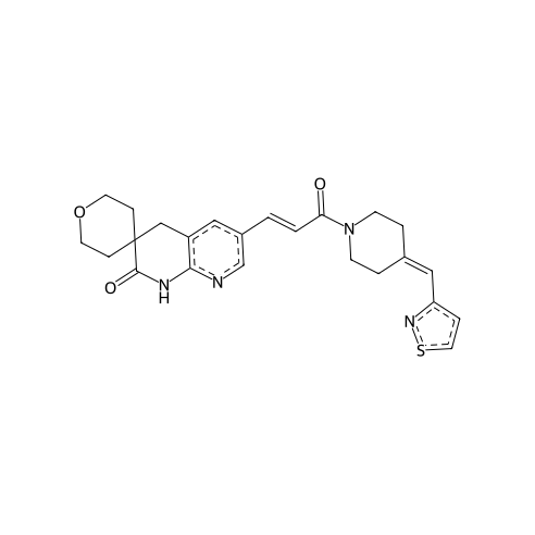 O=C(C=Cc1cnc2c(c1)CC1(CCOCC1)C(=O)N2)N1CCC(=Cc2ccsn2)CC1